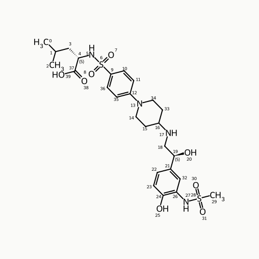 CC(C)C[C@H](NS(=O)(=O)c1ccc(N2CCC(NC[C@@H](O)c3ccc(O)c(NS(C)(=O)=O)c3)CC2)cc1)C(=O)O